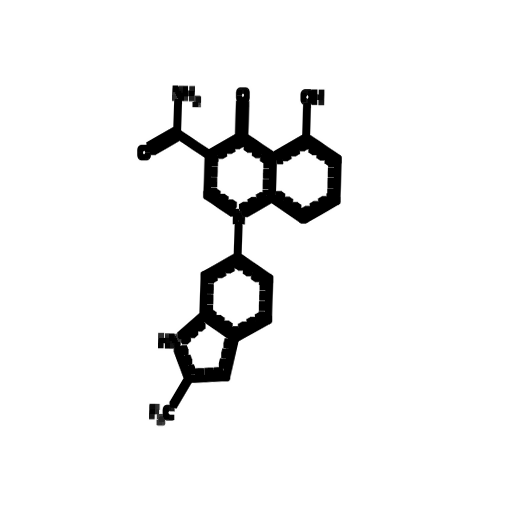 NC(=O)c1cn(-c2ccc3cc(C(F)(F)F)[nH]c3c2)c2cccc(O)c2c1=O